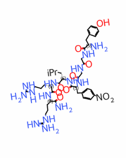 CC(C)C[C@H](NC(=O)[C@H](Cc1ccc([N+](=O)[O-])cc1)NC(=O)CNC(=O)CNC(=O)[C@@H](N)Cc1ccc(O)cc1)C(=O)N[C@@H](CCCNC(=N)N)C(=O)N[C@H](CCCNC(=N)N)C(N)=O